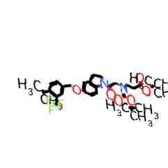 CC(C)c1ccc(COc2ccc3c(c2)CCN3C(=O)CN(CCC(=O)OC(C)(C)C)C(=O)OC(C)(C)C)cc1C(F)(F)F